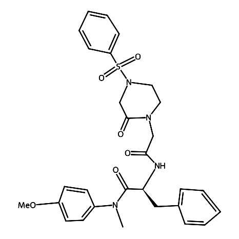 COc1ccc(N(C)C(=O)[C@H](Cc2ccccc2)NC(=O)CN2CCN(S(=O)(=O)c3ccccc3)CC2=O)cc1